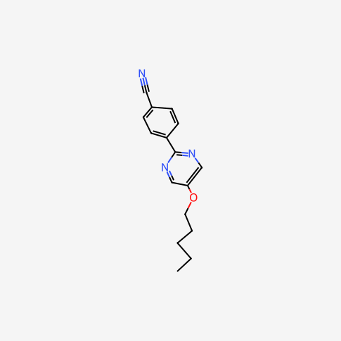 CCCCCOc1cnc(-c2ccc(C#N)cc2)nc1